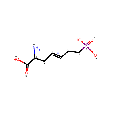 NC(C/C=C/CCP(=O)(O)O)C(=O)O